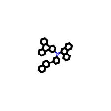 c1cc(-c2ccc3ccccc3c2)cc(N(c2ccc3c4ccccc4c4ccccc4c3c2)c2cc3ccccc3c3ccccc23)c1